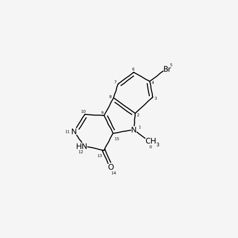 Cn1c2cc(Br)ccc2c2cn[nH]c(=O)c21